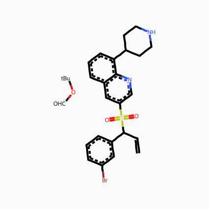 C=CC(c1cccc(Br)c1)S(=O)(=O)c1cnc2c(C3CCNCC3)cccc2c1.CC(C)(C)OC=O